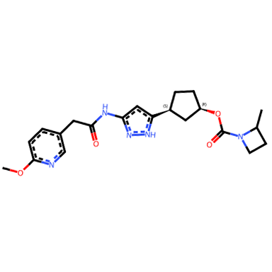 COc1ccc(CC(=O)Nc2cc([C@H]3CC[C@@H](OC(=O)N4CCC4C)C3)[nH]n2)cn1